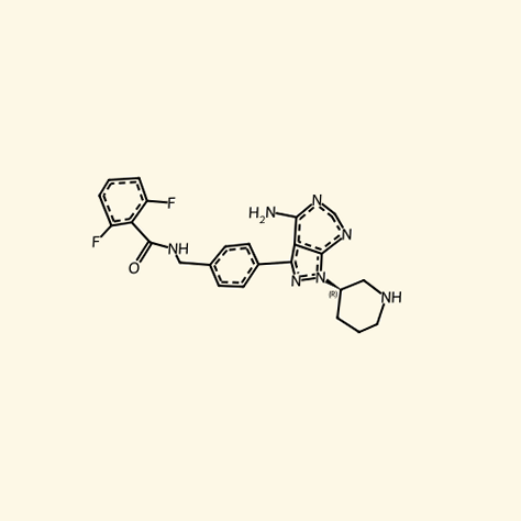 Nc1ncnc2c1c(-c1ccc(CNC(=O)c3c(F)cccc3F)cc1)nn2[C@@H]1CCCNC1